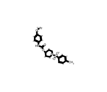 Cc1ccc(S(=O)(=O)N2CCC(OC(=O)Nc3ccc(OC(C)C)cc3)CC2)cc1